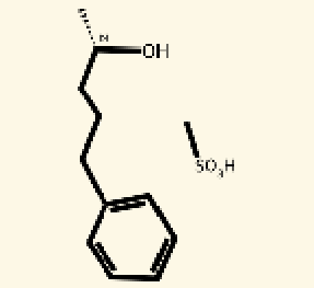 CS(=O)(=O)O.C[C@H](O)CCCc1ccccc1